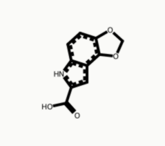 O=C(O)c1cc2c3c(ccc2[nH]1)OCO3